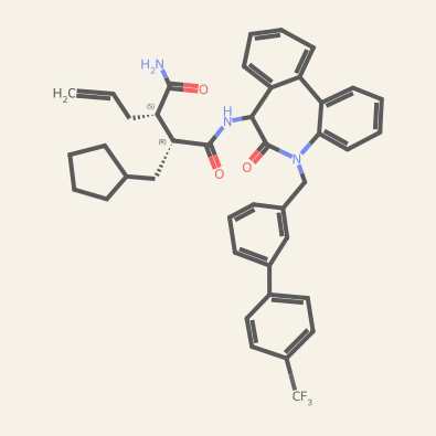 C=CC[C@H](C(N)=O)[C@@H](CC1CCCC1)C(=O)NC1C(=O)N(Cc2cccc(-c3ccc(C(F)(F)F)cc3)c2)c2ccccc2-c2ccccc21